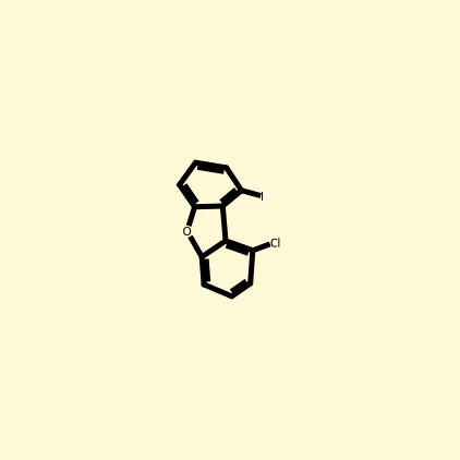 Clc1cccc2oc3cccc(I)c3c12